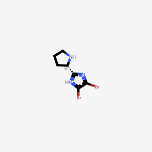 Brc1nc([C@@H]2CCCN2)[nH]c1Br